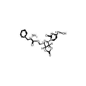 N[C@@H](Cc1ccccc1)C(=O)OC[C@H]1O[C@@H](n2ccc(NO)nc2=O)[C@@H]2OC(=O)O[C@@H]21